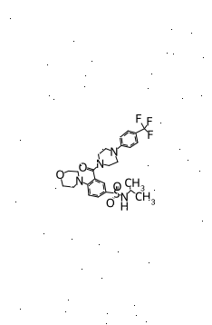 CC(C)NS(=O)(=O)c1ccc(N2CCOCC2)c(C(=O)N2CCN(c3ccc(C(F)(F)F)cc3)CC2)c1